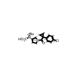 CC(C)(C)N(C(=O)O)[C@H]1CCN(C(=O)C2(c3ccc(Cl)cc3)CC2)C1